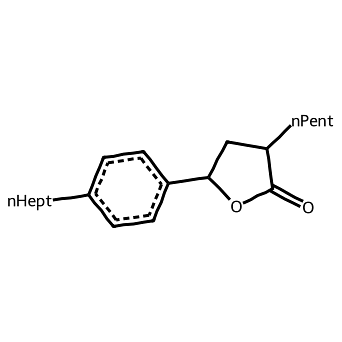 CCCCCCCc1ccc(C2CC(CCCCC)C(=O)O2)cc1